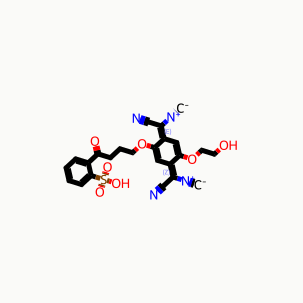 [C-]#[N+]/C(C#N)=c1/cc(OCCCC(=O)c2ccccc2S(=O)(=O)O)/c(=C(\C#N)[N+]#[C-])cc1OCCO